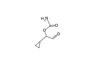 NC(=O)OC(C=O)C1CC1